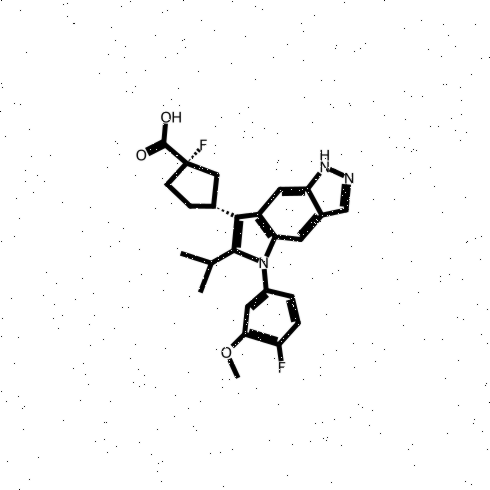 COc1cc(-n2c(C(C)C)c([C@@H]3CC[C@@](F)(C(=O)O)C3)c3cc4[nH]ncc4cc32)ccc1F